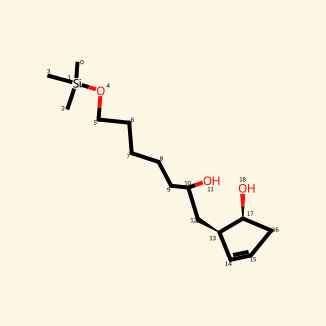 C[Si](C)(C)OCCCCCC(O)C[C@@H]1C=CC[C@@H]1O